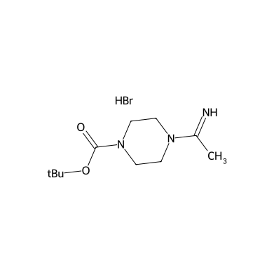 Br.CC(=N)N1CCN(C(=O)OC(C)(C)C)CC1